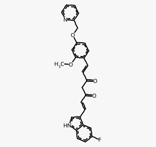 COc1cc(OCc2ccccn2)ccc1C=CC(=O)CC(=O)C=Cc1c[nH]c2ccc(F)cc12